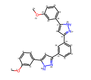 COc1cccc(-c2cc(-c3cccc(-c4cc(-c5cccc(OC)c5)[nH]n4)c3)n[nH]2)c1